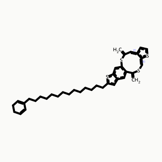 C=C1/C=c2/ccs/c2=C/SC(=C)c2cc3cc(CCCCCCCCCCCCCCC4=CCCC=C4)sc3cc2S1